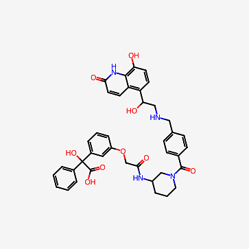 O=C(COc1cccc(C(O)(C(=O)O)c2ccccc2)c1)NC1CCCN(C(=O)c2ccc(CNCC(O)c3ccc(O)c4[nH]c(=O)ccc34)cc2)C1